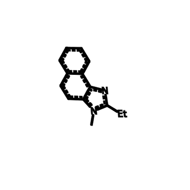 CCc1nc2c3ccccc3ccc2n1C